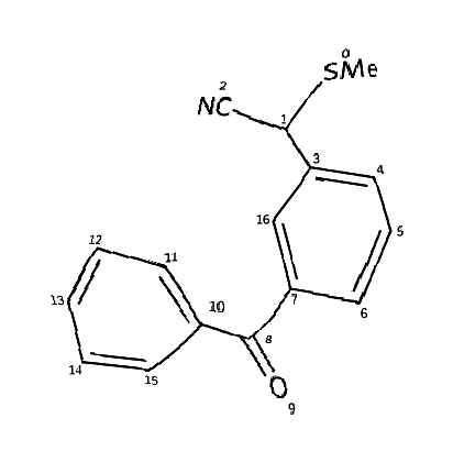 CSC(C#N)c1cccc(C(=O)c2ccccc2)c1